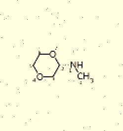 CN[C@@H]1COCCO1